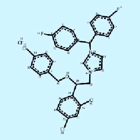 Fc1ccc(C(c2ccc(F)cc2)n2cc[n+](CC(OCc3ccc(Cl)cc3)c3ccc(Cl)cc3Cl)c2)cc1.[Cl-]